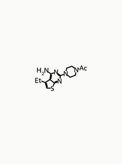 CCc1csc2nc(N3CCN(C(C)=O)CC3)nc(N)c12